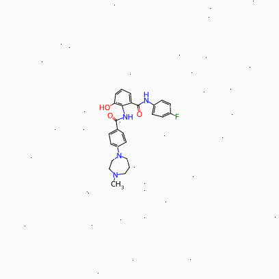 CN1CCCN(c2ccc(C(=O)Nc3c(O)cccc3C(=O)Nc3ccc(F)cc3)cc2)CC1